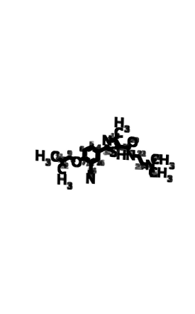 Cc1nc(-c2ccc(OCC(C)C)c(C#N)c2)sc1C(=O)NCCN(C)C